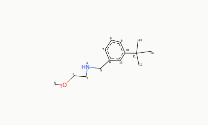 COCCNCc1cccc(C(C)(C)C)c1